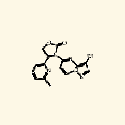 Cc1cccc(C2COC(=O)N2c2ccn3ncc(Br)c3n2)n1